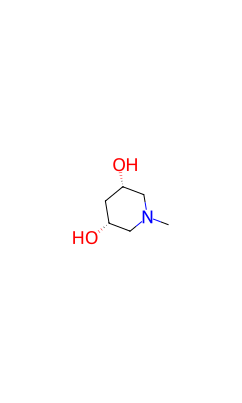 CN1C[C@H](O)C[C@H](O)C1